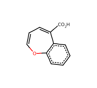 O=C(O)C1=CC=COc2ccccc21